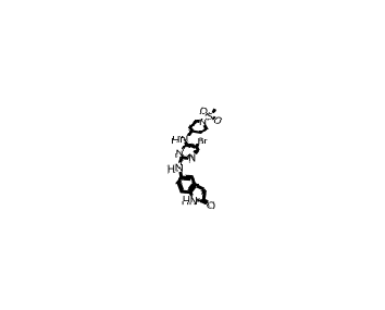 CS(=O)(=O)N1CCC(Nc2nc(Nc3ccc4c(c3)CC(=O)N4)ncc2Br)CC1